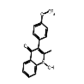 Cc1c(-c2ccc(OC(F)(F)F)cc2)c(=O)c2ccccc2n1O